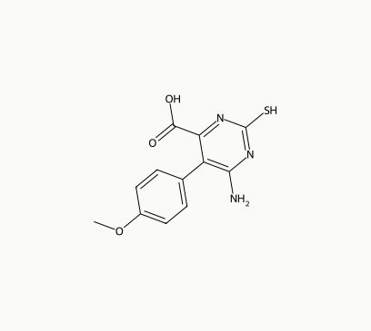 COc1ccc(-c2c(N)nc(S)nc2C(=O)O)cc1